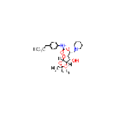 CC1(C)O[C@H]2O[C@H]([C@@H](CN3CCCCC3)OC(=O)Nc3ccc(CC(=O)O)cc3)[C@H](O)[C@H]2O1